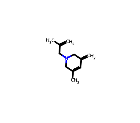 C=C(C)CN1CC(=C)C=C(C)C1